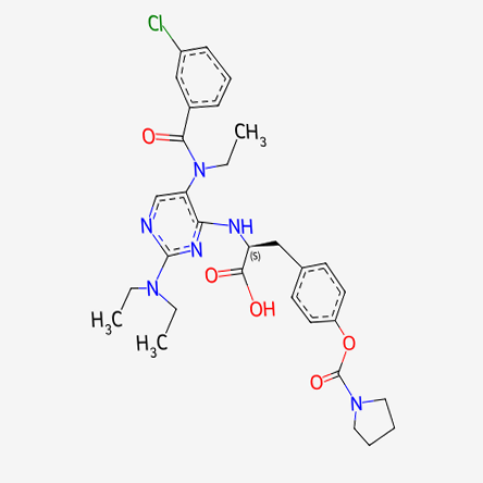 CCN(CC)c1ncc(N(CC)C(=O)c2cccc(Cl)c2)c(N[C@@H](Cc2ccc(OC(=O)N3CCCC3)cc2)C(=O)O)n1